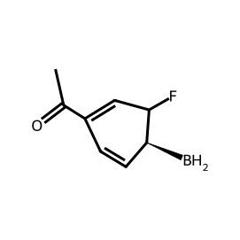 B[C@H]1C=CC(C(C)=O)=CC1F